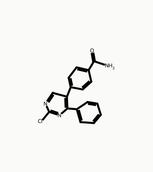 NC(=O)c1ccc(-c2cnc(Cl)nc2-c2ccccc2)cc1